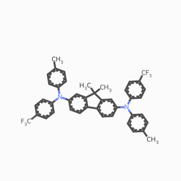 Cc1ccc(N(c2ccc(C(F)(F)F)cc2)c2ccc3c(c2)C(C)(C)c2cc(N(c4ccc(C)cc4)c4ccc(C(F)(F)F)cc4)ccc2-3)cc1